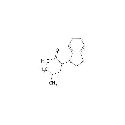 CC(=O)C(CC(C)C)N1CCc2ccccc21